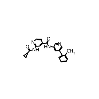 Cc1ccccc1-c1cncc(NC(=O)c2ccnc(NC(=O)C3CC3)c2)c1